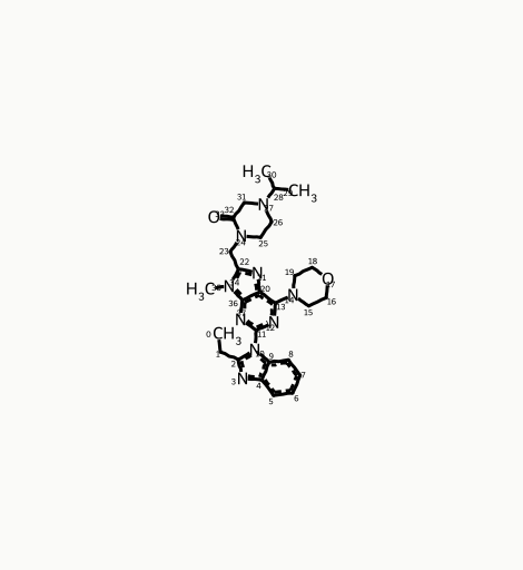 CCc1nc2ccccc2n1-c1nc(N2CCOCC2)c2nc(CN3CCN(C(C)C)CC3=O)n(C)c2n1